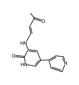 CC(=O)C=CNc1cc(-c2ccncc2)c[nH]c1=O